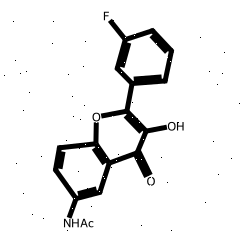 CC(=O)Nc1ccc2oc(-c3cccc(F)c3)c(O)c(=O)c2c1